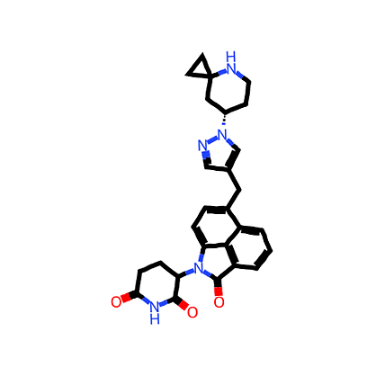 O=C1CCC(N2C(=O)c3cccc4c(Cc5cnn([C@H]6CCNC7(CC7)C6)c5)ccc2c34)C(=O)N1